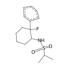 CC(C)S(=O)(=O)NC1CCCCC1(F)c1ccccc1